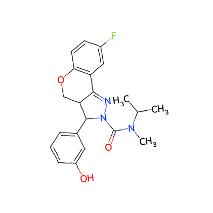 CC(C)N(C)C(=O)N1N=C2c3cc(F)ccc3OCC2C1c1cccc(O)c1